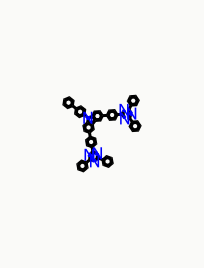 c1ccc(-c2ccc(-n3c4ccc(-c5ccc(-c6nc(-c7ccccc7)nc(-c7ccccc7)n6)cc5)cc4c4cc(-c5ccc(-c6nc(-c7ccccc7)nc(-c7ccccc7)n6)cc5)ccc43)cc2)cc1